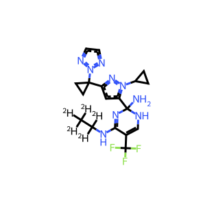 [2H]C([2H])([2H])C([2H])([2H])NC1=NC(N)(c2cc(C3(n4nccn4)CC3)nn2C2CC2)NC=C1C(F)(F)F